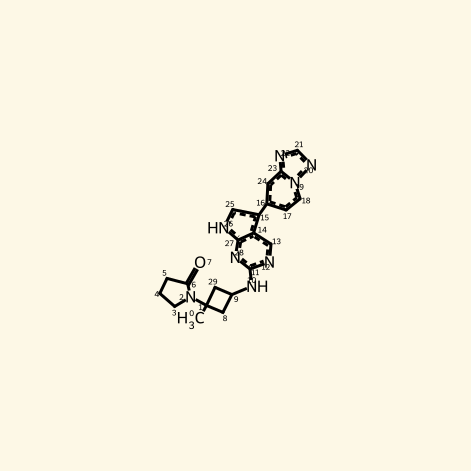 CC1(N2CCCC2=O)CC(Nc2ncc3c(-c4ccn5ncnc5c4)c[nH]c3n2)C1